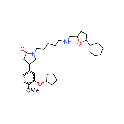 COc1ccc(C2CC(=O)N(CCCCCNCC3CCC(C4CCCCC4)O3)C2)cc1OC1CCCC1